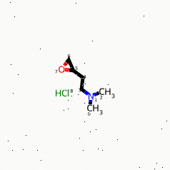 CN(C)CCC1CO1.Cl